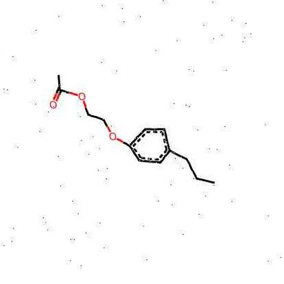 C[CH]Cc1ccc(OCCOC(C)=O)cc1